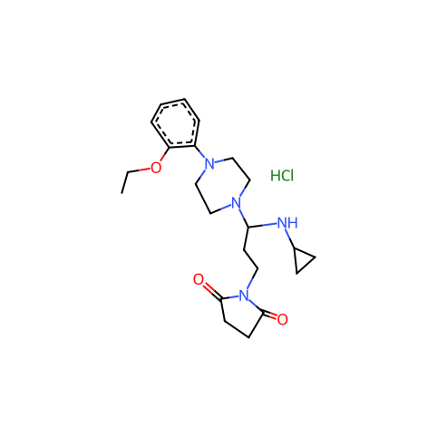 CCOc1ccccc1N1CCN(C(CCN2C(=O)CCC2=O)NC2CC2)CC1.Cl